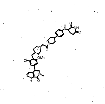 COc1cc(-c2cn(C)c(=O)c3[nH]ncc23)cc(Cl)c1CC1CCN(CC(=O)N2CCC(c3ccc(NC4CCC(=O)NC4=O)cc3)CC2)CC1